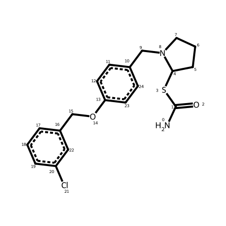 NC(=O)SC1CCCN1Cc1ccc(OCc2cccc(Cl)c2)cc1